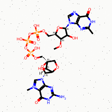 CO[C@@H]1C(O)[C@H](n2cnc3c(=O)[nH]c(C)nc32)O[C@@H]1COP(=O)(O)OP(=O)(O)OP(=O)(O)OC[C@@]12COC([C@H](n3c[n+](C)c4c(=O)[nH]c(N)nc43)O1)[C@H]2O